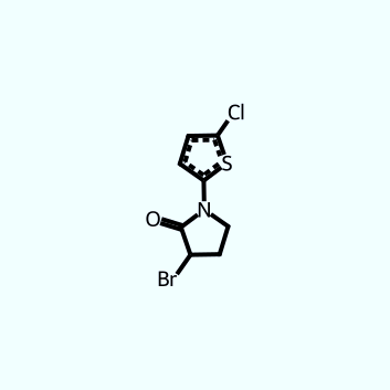 O=C1C(Br)CCN1c1ccc(Cl)s1